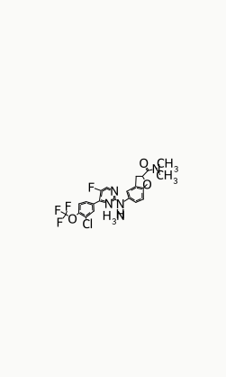 CN(C)C(=O)C1Cc2cc(Nc3ncc(F)c(-c4ccc(OC(F)(F)F)c(Cl)c4)n3)ccc2O1.N